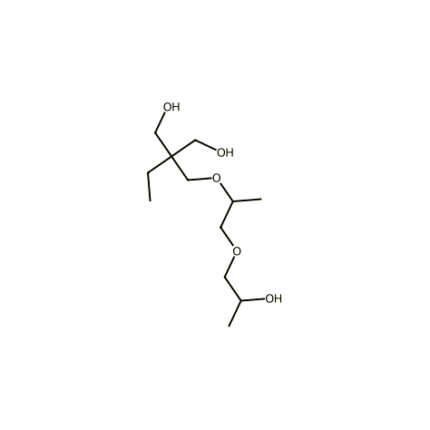 CCC(CO)(CO)COC(C)COCC(C)O